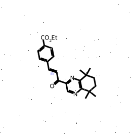 CCOC(=O)c1ccc(/C=C/C(=O)c2cnc3c(n2)C(C)(C)CCC3(C)C)cc1